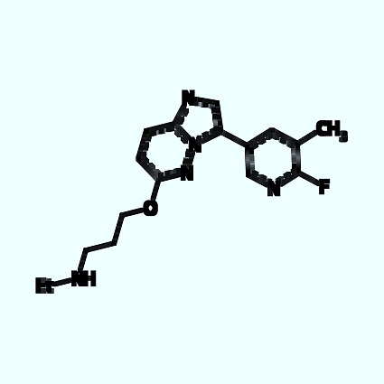 CCNCCCOc1ccc2ncc(-c3cnc(F)c(C)c3)n2n1